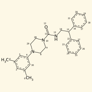 Cc1cc(C)cc(N2CCN(C(=O)NCC(c3ccccc3)c3ccccc3)CC2)c1